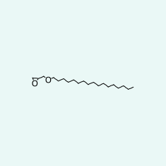 CCCCCCCCCCCCCCCCCOCC1CO1